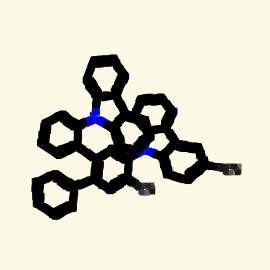 N#Cc1ccc2c(c1)c1ccccc1n2-c1cc(-c2ccccc2-n2c3ccccc3c3ccccc32)c(-c2ccccc2)cc1C#N